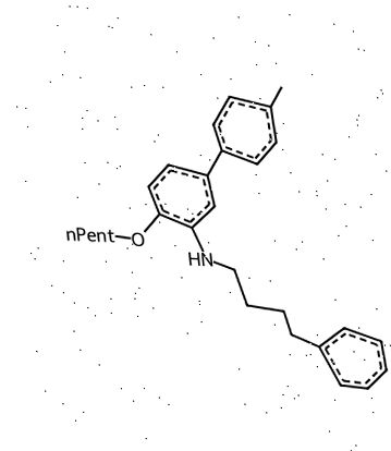 CCCCCOc1ccc(-c2ccc(C)cc2)cc1NCCCCc1ccccc1